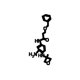 CC1(Nc2ccc(NC(=O)CCOCc3ccccc3)cc2N)COC1